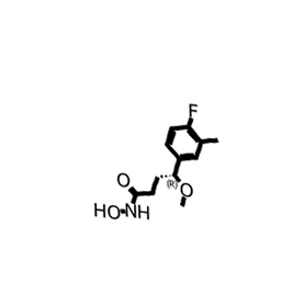 CO[C@H](CCC(=O)NO)c1ccc(F)c(C)c1